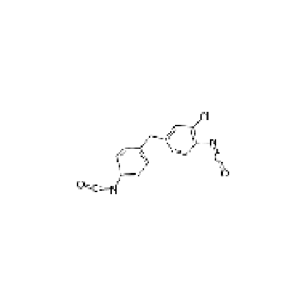 O=C=Nc1ccc(Cc2ccc(N=C=O)c(Cl)c2)cc1